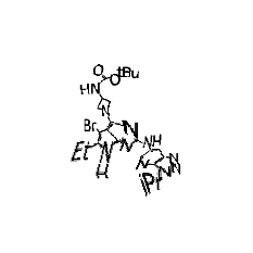 CCc1[nH]c2nc(Nc3cnc4c(c3)nnn4C(C)C)nc(N3CC(NC(=O)OC(C)(C)C)C3)c2c1Br